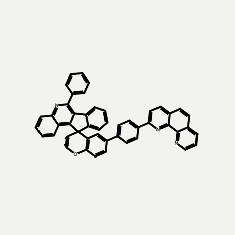 c1ccc(-c2nc3ccccc3c3c2-c2ccccc2C32c3ccccc3Oc3ccc(-c4ccc(-c5ccc6ccc7cccnc7c6n5)cc4)cc32)cc1